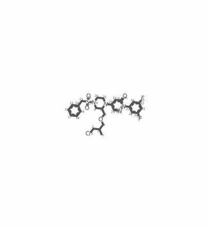 CC(CCl)COCC1CN(S(=O)(=O)Cc2ccccc2)CCN1c1cnn(-c2cc(F)cc(F)c2)c(=O)c1